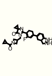 O=C(C1CC1)N1CC(CN2C(=O)C3(CC3)N=C2C2=C(F)C=C(C3=CC=C4NNCC4C3)CC2)C1